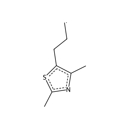 [CH2]CCc1sc(C)nc1C